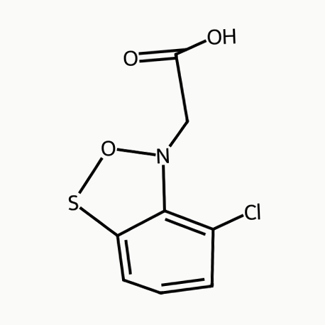 O=C(O)CN1OSc2cccc(Cl)c21